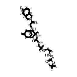 CC1CC2CC(C)(NC(=O)NCC(C)(C)OCC(C)NSC(=O)OC(C)(C)C)CC(NCC(=O)N3Cc4ccc(F)cc4C3)(C1)C2